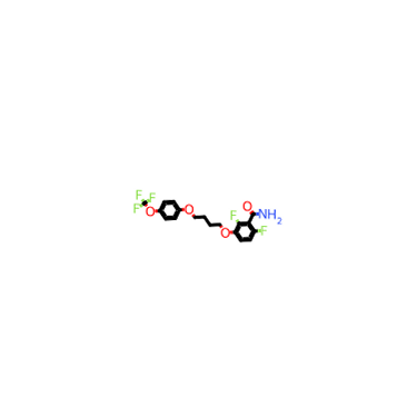 NC(=O)c1c(F)ccc(OCCCCOc2ccc(OC(F)(F)F)cc2)c1F